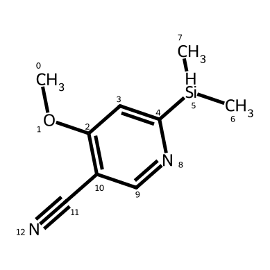 COc1cc([SiH](C)C)ncc1C#N